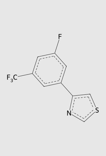 Fc1cc(-c2cscn2)cc(C(F)(F)F)c1